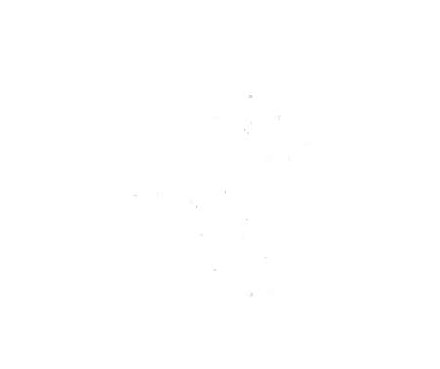 c1ccc(Nc2cc3sc4ccccc4c3cc2-c2ccc3c(c2)c2ccccc2n3-c2ccccc2)cc1